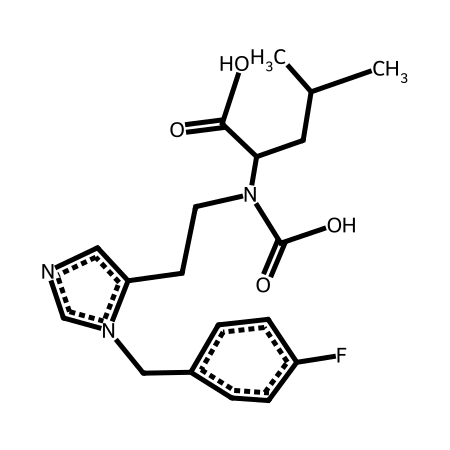 CC(C)CC(C(=O)O)N(CCc1cncn1Cc1ccc(F)cc1)C(=O)O